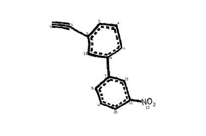 C#Cc1cccc(-c2cccc([N+](=O)[O-])c2)c1